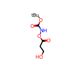 CC(C)(C)OC(=O)NOC(=O)CCO